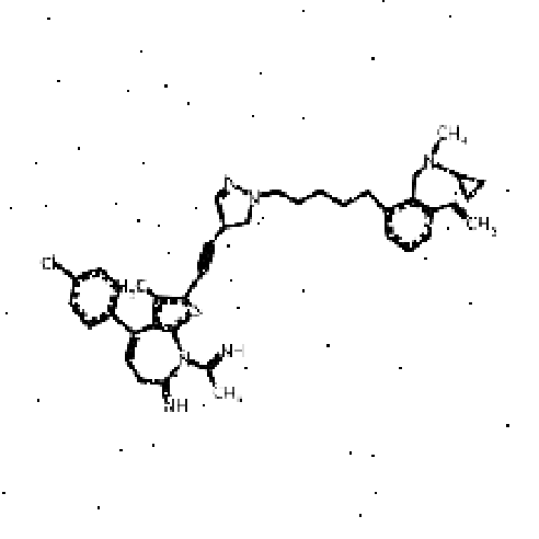 C=Cc1cccc(CCCCCN2CC(C#Cc3sc4c(c3C)C(c3ccc(Cl)cc3)=CCC(=N)N4C(C)=N)C=N2)c1CN(C)C1CC1